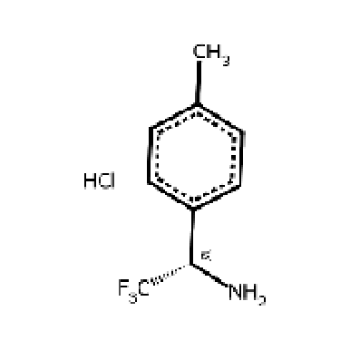 Cc1ccc([C@H](N)C(F)(F)F)cc1.Cl